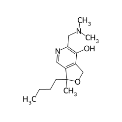 CCCCC1(C)OCc2c1cnc(CN(C)C)c2O